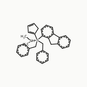 C[SiH](C)[Ti]([CH2]c1ccccc1)([CH2]c1ccccc1)([C]1=CC=CC1)[c]1cccc2c1Cc1ccccc1-2